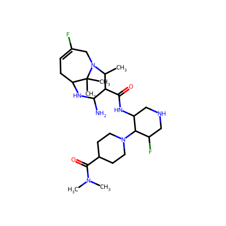 CC1C(C(=O)NC2CNCC(F)C2N2CCC(C(=O)N(C)C)CC2)C(N)NC2CC=C(F)CN1C2(C)C